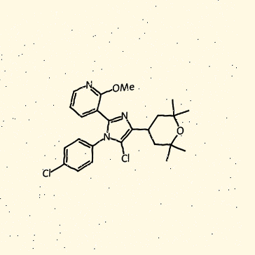 COc1ncccc1-c1nc(C2CC(C)(C)OC(C)(C)C2)c(Cl)n1-c1ccc(Cl)cc1